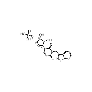 O=c1ccn([C@@H]2O[C@H](COP(=O)(O)O)[C@H](O)C2O)c(=O)n1Cc1noc2ccccc12